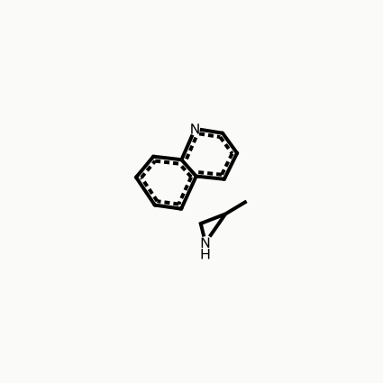 CC1CN1.c1ccc2ncccc2c1